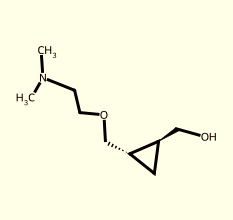 CN(C)CCOC[C@H]1C[C@@H]1CO